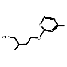 CC1=CC(OCCC(C)CC=O)OC=C1